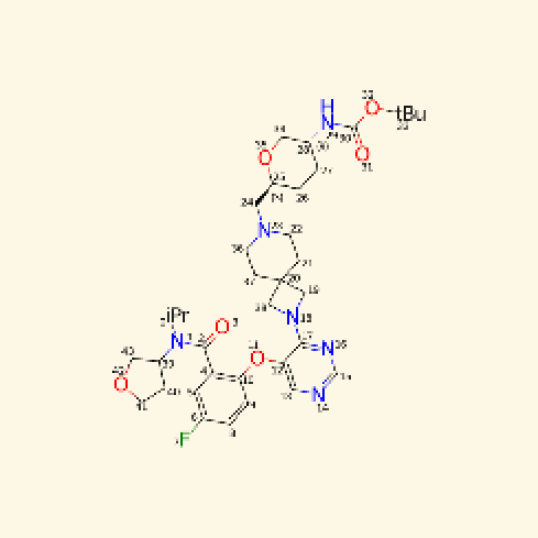 CC(C)N(C(=O)c1cc(F)ccc1Oc1cncnc1N1CC2(CCN(C[C@@H]3CC[C@@H](NC(=O)OC(C)(C)C)CO3)CC2)C1)C1CCOC1